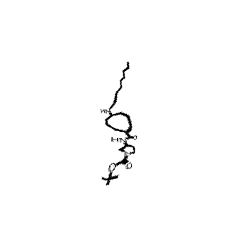 CCCCCCCCNC1CCCC(C(=O)NC2CCN(C(=O)OC(C)(C)C)C2)CCC1